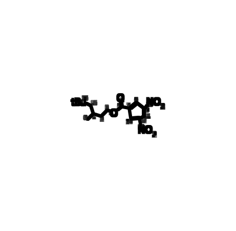 CC(CCOC(=O)c1cc([N+](=O)[O-])cc([N+](=O)[O-])c1)CC(C)(C)C